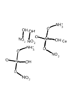 O=[N+]([O-])O.O=[N+]([O-])O.[Ce].[NH3+]O[N+]([O-])(O)O[N+](=O)[O-].[NH3+]O[N+]([O-])(O)O[N+](=O)[O-]